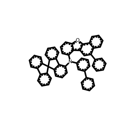 c1ccc(-c2cccc(N(c3cccc4c3-c3ccccc3C43c4ccccc4-c4ccccc43)c3cccc4oc5c6ccccc6c(-c6ccccc6)cc5c34)c2)cc1